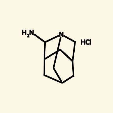 Cl.NC1C2CC3CC(C2)CN1C3